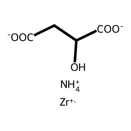 O=C([O-])CC(O)C(=O)[O-].[NH4+].[Zr+]